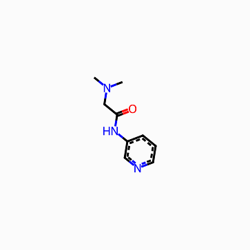 CN(C)CC(=O)Nc1cccnc1